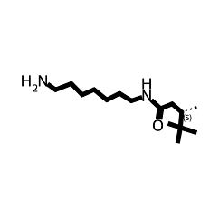 C[C@@H](CC(=O)NCCCCCCCN)C(C)(C)C